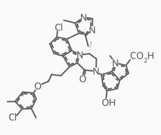 Cc1cc(OCCCc2c3n(c4c(-c5c(C)ncnc5C)c(Cl)ccc24)[C@H](C)CN(c2cc(O)cc4cc(C(=O)O)n(C)c24)C3=O)cc(C)c1Cl